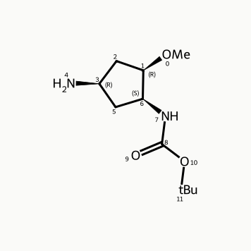 CO[C@@H]1C[C@H](N)C[C@@H]1NC(=O)OC(C)(C)C